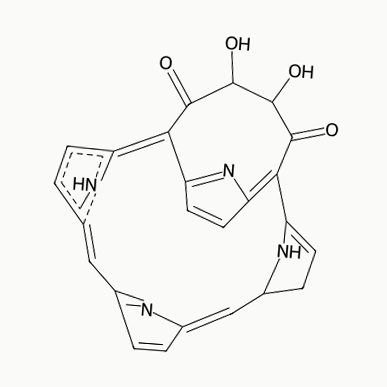 O=C1C2=C3C=CC(=N3)C(=c3ccc([nH]3)=CC3=NC(=CC4CC=C2N4)C=C3)C(=O)C(O)C1O